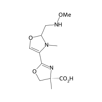 CONCC1OC=C(C2=N[C@](C)(C(=O)O)CO2)N1C